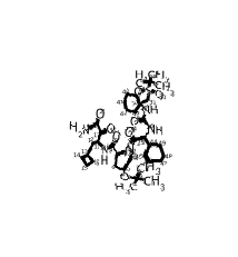 CC(C)(C)O[C@@H]1C[C@@H](C(=O)NC(CC2CCC2)C(=O)C(N)=O)N(C(=O)[C@@H](NC(=O)NC2(CS(=O)(=O)C(C)(C)C)CCCCC2)C2CCCCC2)C1